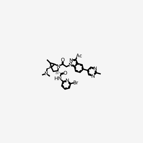 CC(=O)c1nn(CC(=O)N2C3C(C)[C@@]3(CN(C)C)C[C@H]2C(=O)Nc2cccc(Br)n2)c2ccc(-c3cnc(C)nc3)cc12